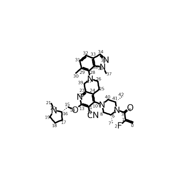 C=C(F)C(=O)N1[C@H](C)CN(c2c(C#N)c(OC[C@@H]3CCCN3C)nc3c2CCN(c2c(C)ccc4cnn(C)c24)C3)C[C@@H]1C